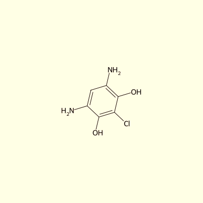 Nc1cc(N)c(O)c(Cl)c1O